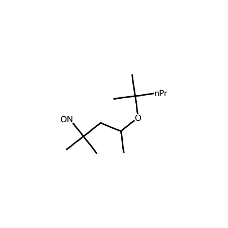 CCCC(C)(C)OC(C)CC(C)(C)N=O